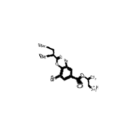 O=C(OC(CS(=O)(=O)O)C(F)(F)F)c1cc(Br)c(OC(=O)C(Br)CBr)c(Br)c1